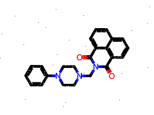 O=C1c2cccc3cccc(c23)C(=O)N1CN1CCN(c2ccccc2)CC1